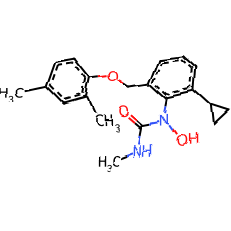 CNC(=O)N(O)c1c(COc2ccc(C)cc2C)cccc1C1CC1